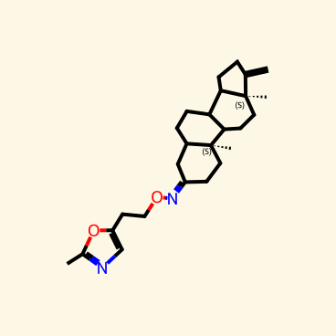 C=C1CCC2C3CCC4CC(=NOCCc5cnc(C)o5)CC[C@]4(C)C3CC[C@]12C